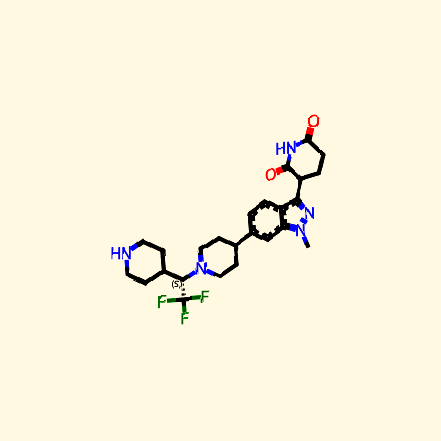 Cn1nc(C2CCC(=O)NC2=O)c2ccc(C3CCN([C@@H](C4CCNCC4)C(F)(F)F)CC3)cc21